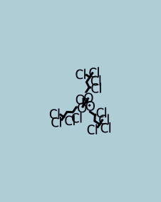 O=P(OCC(Cl)CC(Cl)(Cl)Cl)(OCC(Cl)CC(Cl)(Cl)Cl)OCC(Cl)CC(Cl)(Cl)Cl